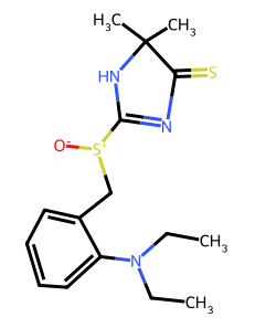 CCN(CC)c1ccccc1C[S+]([O-])C1=NC(=S)C(C)(C)N1